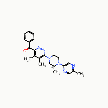 Cc1cnc(N2CCN(c3nnc(C(=O)c4ccccc4)c(C)c3C)C[C@H]2C)cn1